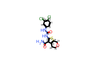 NC(=O)c1c(NC(=O)Nc2ccc(Cl)c(Cl)c2)sc2c1CCOC2